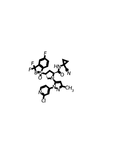 Cc1cc(N2C[C@H](S3(=O)=BC(F)(F)c4cc(F)ccc43)C[C@H]2C(=O)NC2(C#N)CC2)n(-c2ccnc(Cl)c2)n1